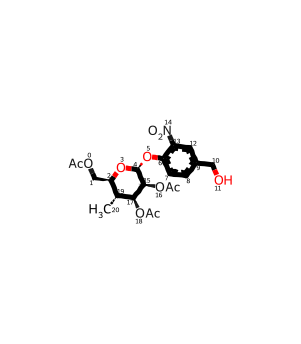 CC(=O)OC[C@H]1O[C@H](Oc2ccc(CO)cc2[N+](=O)[O-])[C@@H](OC(C)=O)[C@@H](OC(C)=O)[C@@H]1C